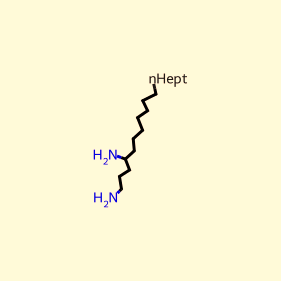 CCCCCCCCCCCCCCC(N)CCCN